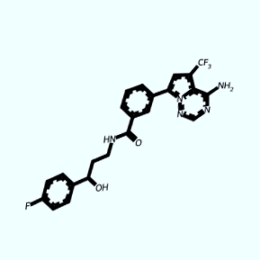 Nc1ncnn2c(-c3cccc(C(=O)NCCC(O)c4ccc(F)cc4)c3)cc(C(F)(F)F)c12